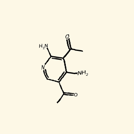 CC(=O)c1cnc(N)c(C(C)=O)c1N